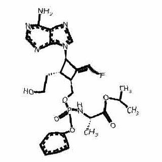 CC(C)OC(=O)[C@H](C)NP(=O)(OC[C@@H]1/C(=C\F)[C@H](n2cnc3c(N)ncnc32)[C@H]1CCO)Oc1ccccc1